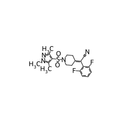 Cc1nn(C)c(C)c1S(=O)(=O)N1CCC(=C(C#N)c2c(F)cccc2F)CC1